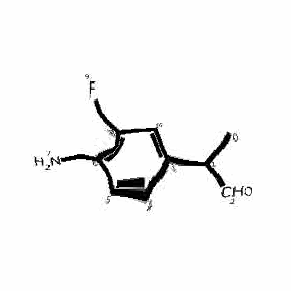 CC(C=O)c1ccc(N)c(F)c1